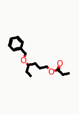 CC[C](CCCOC(=O)CC)OCc1ccccc1